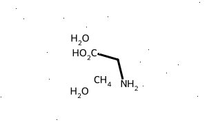 C.NCC(=O)O.O.O